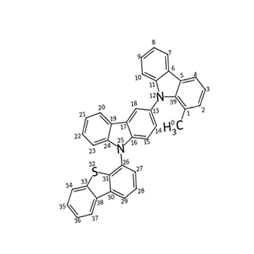 Cc1cccc2c3ccccc3n(-c3ccc4c(c3)c3ccccc3n4-c3cccc4c3sc3ccccc34)c12